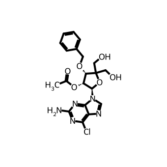 CC(=O)O[C@H]1[C@H](n2cnc3c(Cl)nc(N)nc32)OC(CO)(CO)[C@H]1OCc1ccccc1